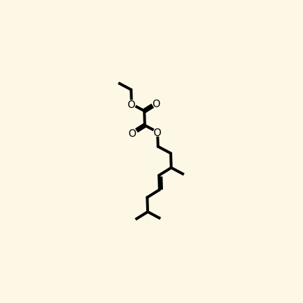 CCOC(=O)C(=O)OCCC(C)C=CCC(C)C